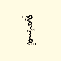 COc1cc(C=CC=CC(=O)NCCN2CCN(C(=O)c3ccccc3N)CC2)ccc1O